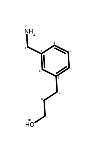 NCc1cccc(CCCO)c1